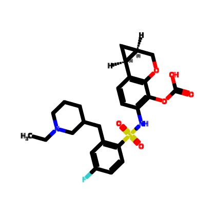 CCN1CCCC(Cc2cc(F)ccc2S(=O)(=O)Nc2ccc3c(c2OC(=O)O)OC[C@@H]2C[C@H]32)C1